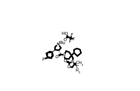 CC(C)(C)N1C[C@H](C(=O)N2CCC(CN3C(=O)OCC3(C)C)(C3CCCCC3)CC2)[C@@H](c2ccc(F)cc2)C1.O=C(O)C(F)(F)F